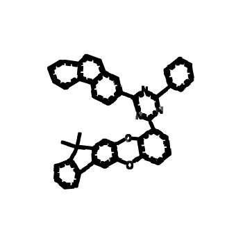 CC1(C)c2ccccc2-c2cc3c(cc21)Oc1c(cccc1-c1nc(-c2ccccc2)nc(-c2ccc4c(ccc5ccccc54)c2)n1)O3